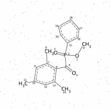 COP(=O)(C(=O)c1c(C)cc(C)cc1C)c1ccccc1